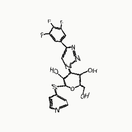 OCC1OC(Sc2ccncc2)C(O)C(n2cc(-c3cc(F)c(F)c(F)c3)nn2)C1O